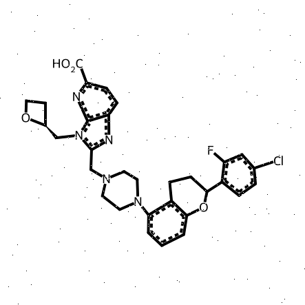 O=C(O)c1ccc2nc(CN3CCN(c4cccc5c4CCC(c4ccc(Cl)cc4F)O5)CC3)n(C[C@@H]3CCO3)c2n1